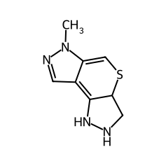 Cn1ncc2c1=CSC1CNNC=21